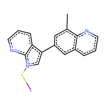 Cc1cc(-c2cn(SI)c3ncccc23)cc2cccnc12